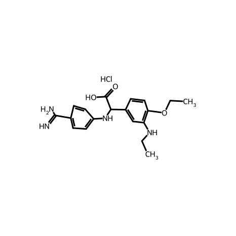 CCNc1cc(C(Nc2ccc(C(=N)N)cc2)C(=O)O)ccc1OCC.Cl